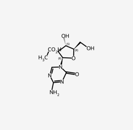 CC(=O)O.Nc1ncn([C@H]2C[C@H](O)[C@@H](CO)O2)c(=O)n1